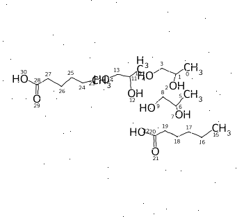 CC(O)CO.CC(O)CO.CC(O)CO.CCCCCC(=O)O.CCCCCC(=O)O